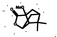 COC12CC3CC(OC1=O)C2C3(C)C